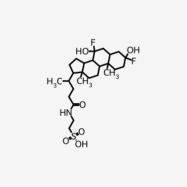 CC(CCC(=O)NCCS(=O)(=O)O)C1CCC2C3C(CCC12C)C1(C)CCC(O)(F)CC1CC3(O)F